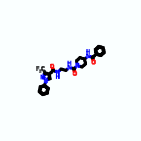 O=C(NC1CCN(C(=O)NCCNC(=O)c2cn(-c3ccccc3)nc2C(F)(F)F)CC1)c1ccccc1